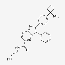 NC1(c2ccc(C3N=C4C=CC(C(=O)NCCO)=NN4C3c3ccccc3)cc2)CCC1